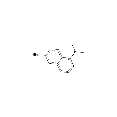 CN(C)c1cccc2cc(C(C)(C)C)ccc12